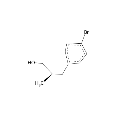 C[C@@H](CO)Cc1ccc(Br)cc1